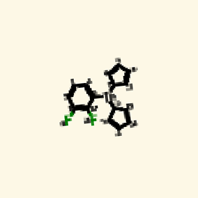 Fc1ccc[c]([Ti]([CH]2C=CC=C2)[CH]2C=CC=C2)c1F